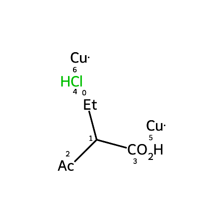 CCC(C(C)=O)C(=O)O.Cl.[Cu].[Cu]